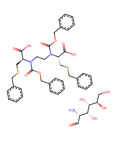 N[C@@H](C=O)[C@@H](O)[C@H](O)[C@H](O)CO.O=C(O)[C@H](CSCc1ccccc1)N(CCN(C(=O)OCc1ccccc1)[C@@H](CSCc1ccccc1)C(=O)O)C(=O)OCc1ccccc1